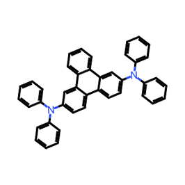 c1ccc(N(c2ccccc2)c2ccc3c4ccc(N(c5ccccc5)c5ccccc5)cc4c4ccccc4c3c2)cc1